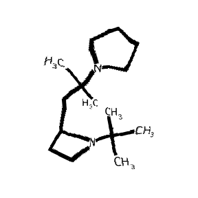 CC(C)(C)N1CCC1CC(C)(C)N1CCCC1